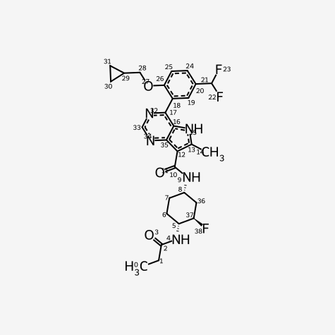 CCC(=O)N[C@@H]1CC[C@H](NC(=O)c2c(C)[nH]c3c(-c4cc(C(F)F)ccc4OCC4CC4)ncnc23)C[C@H]1F